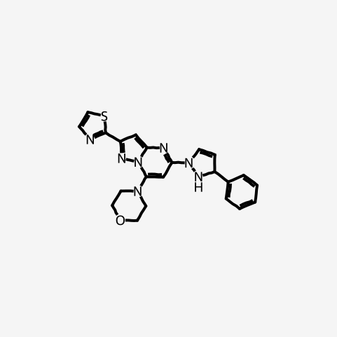 C1=CN(c2cc(N3CCOCC3)n3nc(-c4nccs4)cc3n2)NC1c1ccccc1